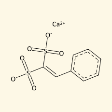 O=S(=O)([O-])C(=Cc1ccccc1)S(=O)(=O)[O-].[Ca+2]